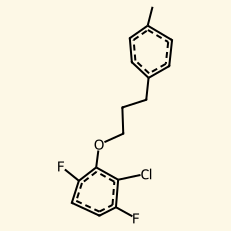 Cc1ccc(CCCOc2c(F)ccc(F)c2Cl)cc1